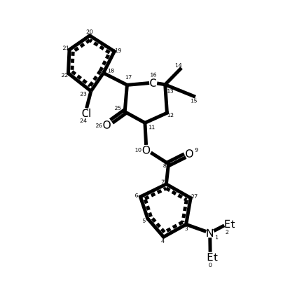 CCN(CC)c1cccc(C(=O)OC2CC(C)(C)CC(c3ccccc3Cl)C2=O)c1